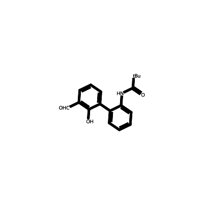 CC(C)(C)C(=O)Nc1ccccc1-c1cccc(C=O)c1O